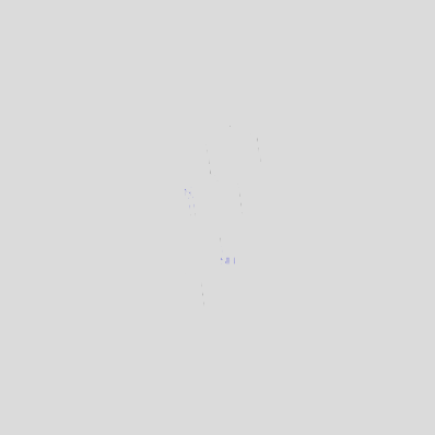 CC(C)Nc1cnc2c(c1)CCCC2